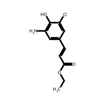 CCOC(=O)C=Cc1cc(N)c(O)c(Cl)c1